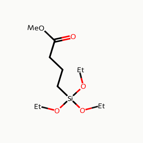 CCO[Si](CCCC(=O)OC)(OCC)OCC